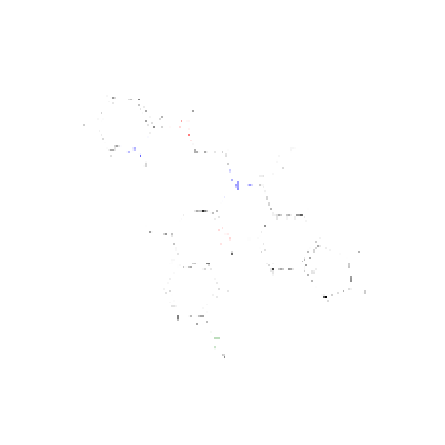 CC(CC(=O)N(CCOc1ccccn1)C(C)c1ccc2c(c1)CCC2)c1ccc(F)cc1